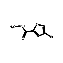 CNC(=O)c1cc(Br)cs1